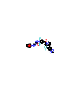 Cc1nc2cc(-c3cccn4c(C(=O)c5cc(F)c(NC(=O)/C=C/CNC6CC7CCC(C6)O7)c(F)c5)ccc34)c(C(F)(F)F)cc2n1C